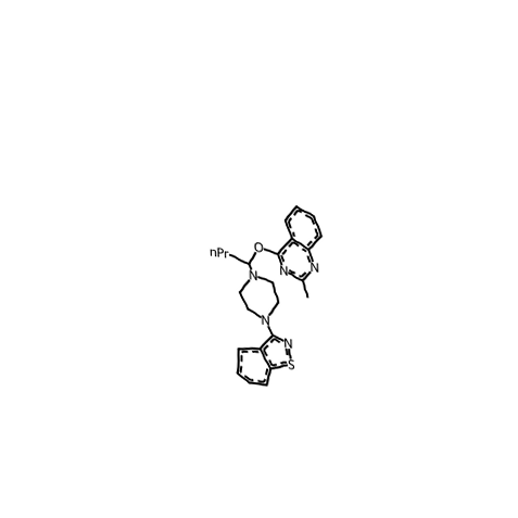 CCCC(Oc1nc(C)nc2ccccc12)N1CCN(c2nsc3ccccc23)CC1